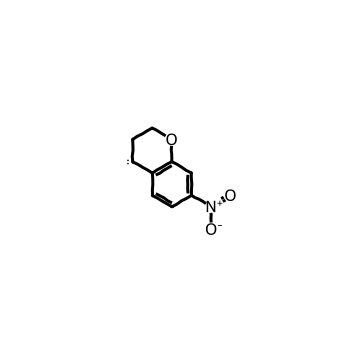 O=[N+]([O-])c1ccc2c(c1)OCC[C]2